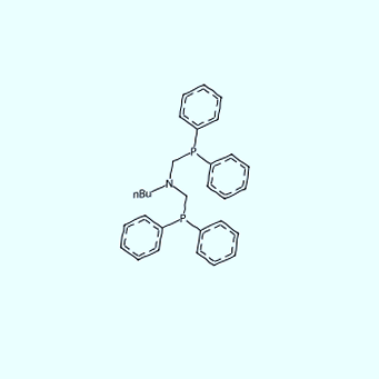 CCCCN(CP(c1ccccc1)c1ccccc1)CP(c1ccccc1)c1ccccc1